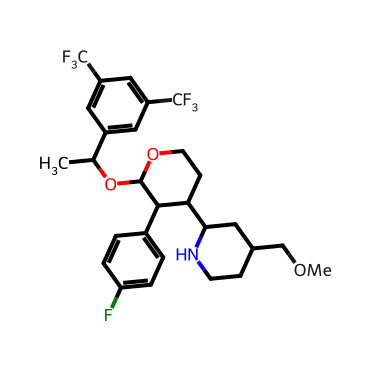 COCC1CCNC(C2CCOC(OC(C)c3cc(C(F)(F)F)cc(C(F)(F)F)c3)C2c2ccc(F)cc2)C1